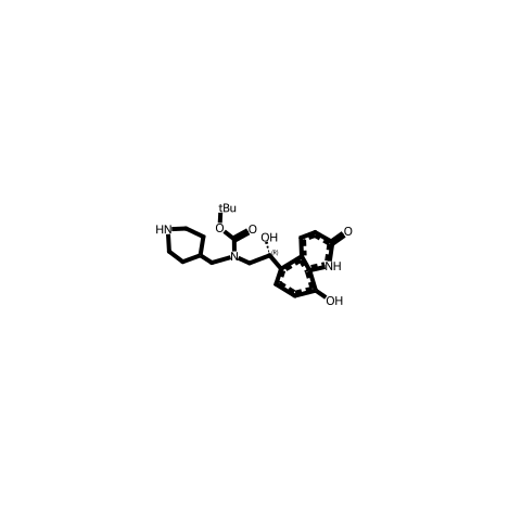 CC(C)(C)OC(=O)N(CC1CCNCC1)C[C@H](O)c1ccc(O)c2[nH]c(=O)ccc12